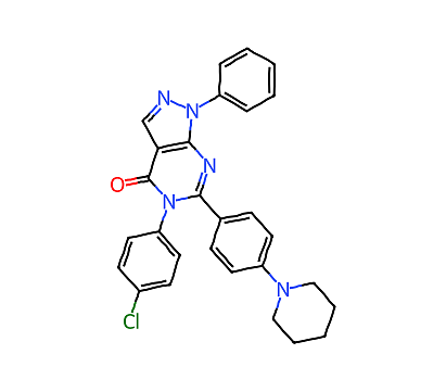 O=c1c2cnn(-c3ccccc3)c2nc(-c2ccc(N3CCCCC3)cc2)n1-c1ccc(Cl)cc1